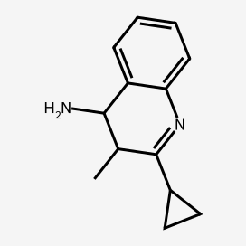 CC1C(C2CC2)=Nc2ccccc2C1N